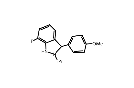 COc1ccc(C2c3cccc(F)c3NN2C(C)C)cc1